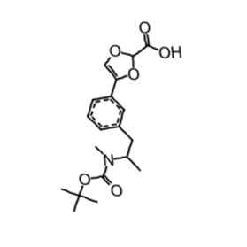 CC(Cc1cccc(C2=COC(C(=O)O)O2)c1)N(C)C(=O)OC(C)(C)C